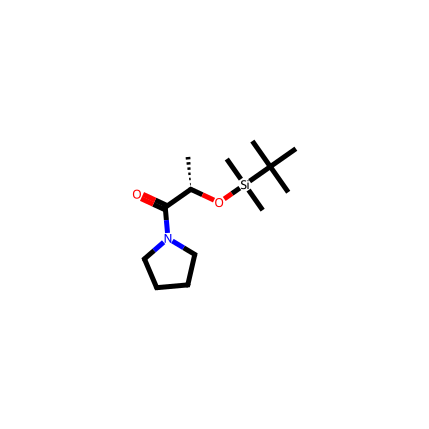 C[C@H](O[Si](C)(C)C(C)(C)C)C(=O)N1CCCC1